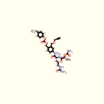 C#CCOCc1cc(NC(=O)[C@@H](CCCNC(N)=O)NC(=O)[C@H](OC(N)=O)C(C)(C)C)ccc1COC(=O)Oc1ccc([N+](=O)[O-])cc1